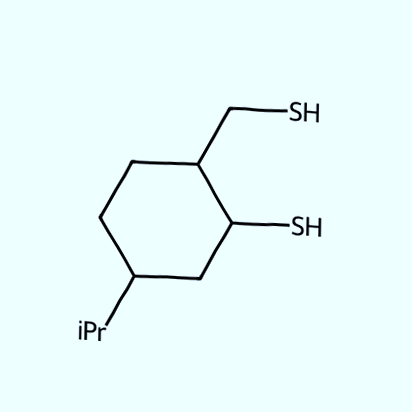 CC(C)C1CCC(CS)C(S)C1